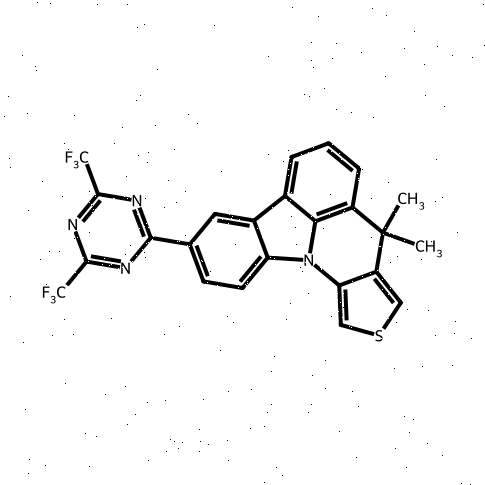 CC1(C)c2cscc2-n2c3ccc(-c4nc(C(F)(F)F)nc(C(F)(F)F)n4)cc3c3cccc1c32